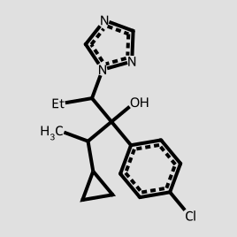 CCC(n1cncn1)C(O)(c1ccc(Cl)cc1)C(C)C1CC1